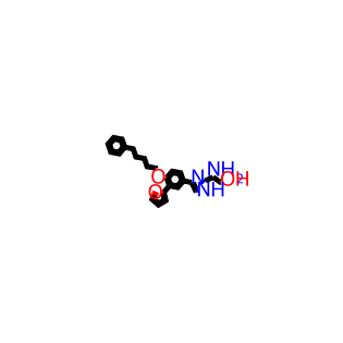 NC(CO)c1nc(-c2ccc(OCCCCCc3ccccc3)c(-c3ccco3)c2)c[nH]1